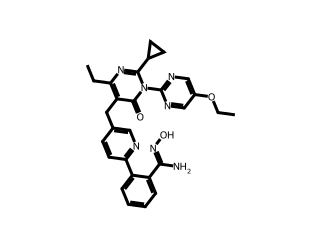 CCOc1cnc(-n2c(C3CC3)nc(CC)c(Cc3ccc(-c4ccccc4C(N)=NO)nc3)c2=O)nc1